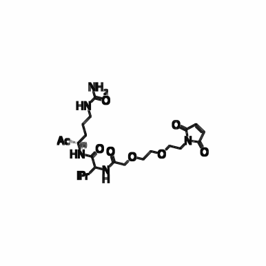 CC(=O)[C@H](CCCNC(N)=O)NC(=O)C(NC(=O)COCCOCCN1C(=O)C=CC1=O)C(C)C